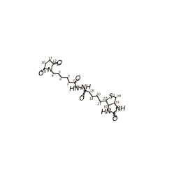 O=C(CCCCCN1C(=O)CCC1=O)NNC(=O)CCCCC1SCC2NC(=O)NC21